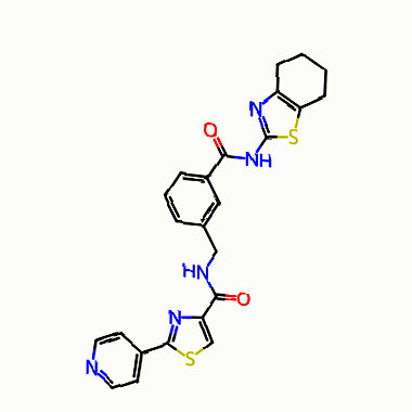 O=C(Nc1nc2c(s1)CCCC2)c1cccc(CNC(=O)c2csc(-c3ccncc3)n2)c1